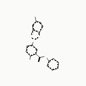 Nc1ccc2nn(-c3ccc(O)c(C(=O)Oc4ccccc4)c3)nc2c1